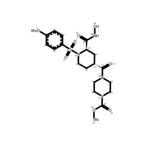 COc1ccc(S(=O)(=O)N2CC[C@@H](C(=O)N3CCN(C(=O)OC(C)(C)C)CC3)C[C@@H]2C(=O)NO)cc1